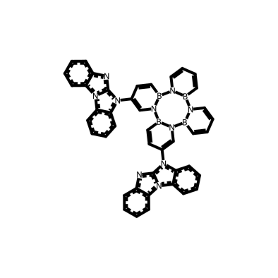 C1=CB2N3C=CC=CB3N3C=C(n4c5ccccc5n5c6ccccc6nc45)C=CB3N3C=C(n4c5ccccc5n5c6ccccc6nc45)C=CB3N2C=C1